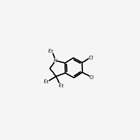 CCN1CC(CC)(CC)c2cc(Cl)c(Cl)cc21